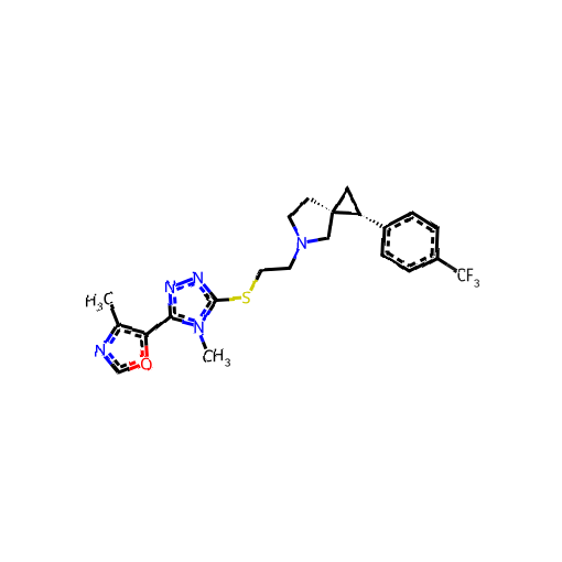 Cc1ncoc1-c1nnc(SCCN2CC[C@@]3(C[C@@H]3c3ccc(C(F)(F)F)cc3)C2)n1C